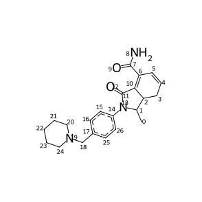 CC1C2CC=CC(C(N)=O)=C2C(=O)N1c1ccc(CN2CCCCC2)cc1